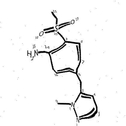 Cn1nccc1-c1ccc(S(C)(=O)=O)c(N)c1